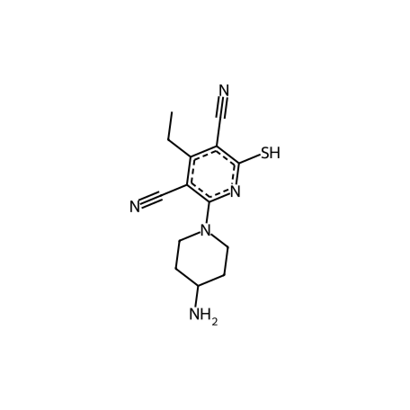 CCc1c(C#N)c(S)nc(N2CCC(N)CC2)c1C#N